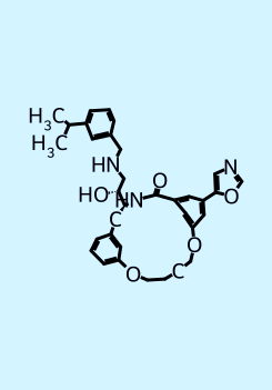 CC(C)c1cccc(CNC[C@@H](O)[C@@H]2Cc3cccc(c3)OCCCCOc3cc(cc(-c4cnco4)c3)C(=O)N2)c1